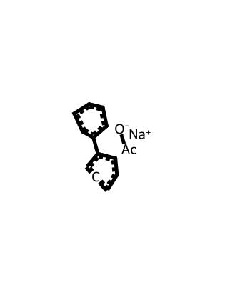 CC(=O)[O-].[Na+].c1ccc(-c2ccccc2)cc1